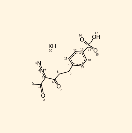 CC(=O)C(=[N+]=[N-])C(=O)CCc1ccc(S(=O)(=O)O)cc1.[KH]